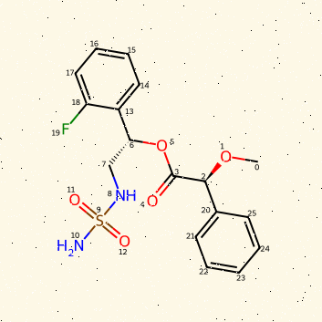 CO[C@H](C(=O)O[C@H](CNS(N)(=O)=O)c1ccccc1F)c1ccccc1